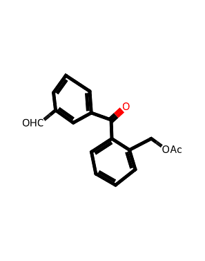 CC(=O)OCc1ccccc1C(=O)c1cccc(C=O)c1